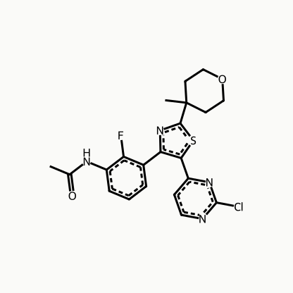 CC(=O)Nc1cccc(-c2nc(C3(C)CCOCC3)sc2-c2ccnc(Cl)n2)c1F